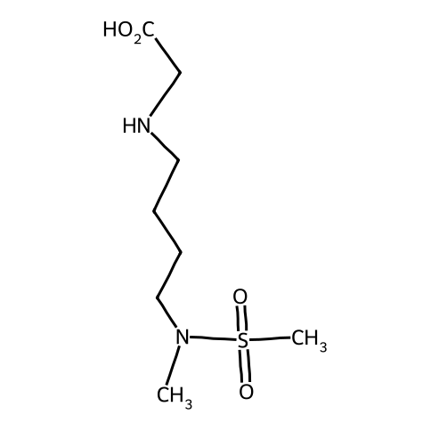 CN(CCCCNCC(=O)O)S(C)(=O)=O